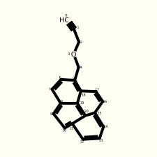 C#CCOCc1ccc2ccc3cccc4ccc1c2c34